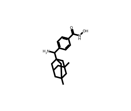 CC12CC3CC(C)(C1)CC(C(N)c1ccc(C(=O)NO)cc1)(C3)C2